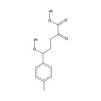 Cc1ccc(C(CCC(=O)C(=O)OC(C)C)OC(C)C)cc1